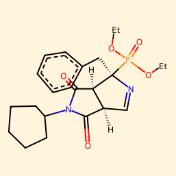 CCOP(=O)(OCC)[C@@]1(Cc2ccccc2)N=C[C@H]2C(=O)N(C3CCCCC3)C(=O)[C@H]21